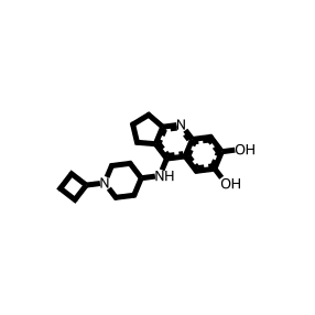 Oc1cc2nc3c(c(NC4CCN(C5CCC5)CC4)c2cc1O)CCC3